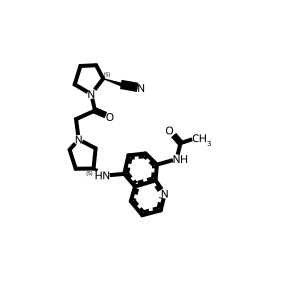 CC(=O)Nc1ccc(N[C@H]2CCN(CC(=O)N3CCC[C@H]3C#N)C2)c2cccnc12